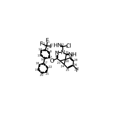 N=C(Cl)N1N=C(Oc2cc(C(F)(F)F)ccc2-c2ccccc2)C2C3C=C(F)C=CC32C1=N